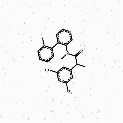 Cc1ccccc1-c1ccncc1N(C)C(=O)C(C)c1cc(C(F)(F)F)cc(C(F)(F)F)c1